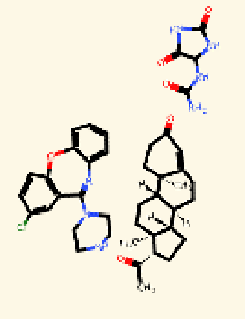 CC(=O)[C@H]1CC[C@H]2[C@@H]3CCC4=CC(=O)CC[C@]4(C)[C@H]3CC[C@]12C.Clc1ccc2c(c1)C(N1CCNCC1)=Nc1ccccc1O2.NC(=O)NC1NC(=O)NC1=O